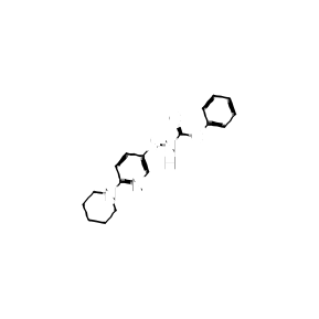 O=C(NSc1ccc(N2CCCCC2)nc1)Oc1ccccc1